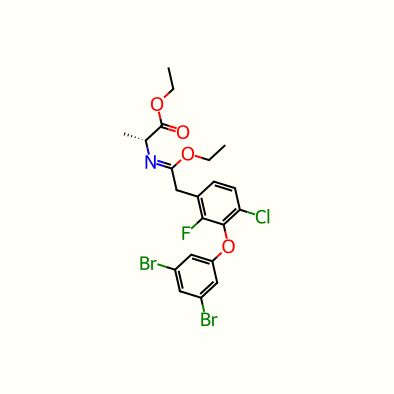 CCOC(=O)[C@@H](C)/N=C(/Cc1ccc(Cl)c(Oc2cc(Br)cc(Br)c2)c1F)OCC